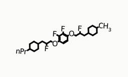 CCCC1CCC(CC(F)COc2ccc(OCC(F)CC3CCC(C)CC3)c(F)c2F)CC1